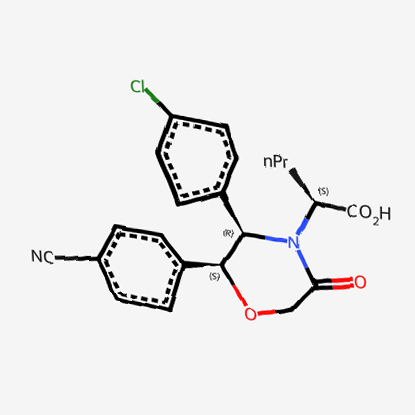 CCC[C@@H](C(=O)O)N1C(=O)CO[C@@H](c2ccc(C#N)cc2)[C@H]1c1ccc(Cl)cc1